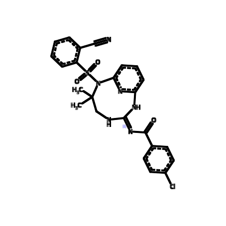 CC1(C)CN/C(=N/C(=O)c2ccc(Cl)cc2)Nc2cccc(n2)N1S(=O)(=O)c1ccccc1C#N